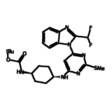 CSc1nc(N[C@H]2CC[C@H](NC(=O)OC(C)(C)C)CC2)cc(-n2c(C(F)F)nc3ccccc32)n1